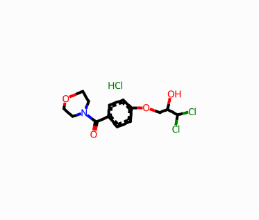 Cl.O=C(c1ccc(OCC(O)C(Cl)Cl)cc1)N1CCOCC1